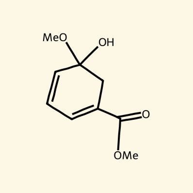 COC(=O)C1=CC=CC(O)(OC)C1